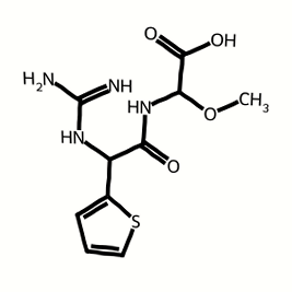 COC(NC(=O)C(NC(=N)N)c1cccs1)C(=O)O